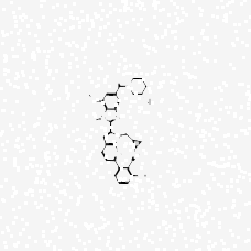 COc1cc(C(=O)N2C[C@H](N)C[C@@H](F)C2)cc2nc(-c3cc4ccc(-c5cccc(O)c5C#N)nc4n3CC3CC3)n(C)c12